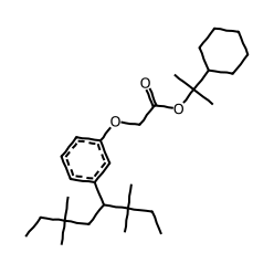 CCC(C)(C)CC(c1cccc(OCC(=O)OC(C)(C)C2CCCCC2)c1)C(C)(C)CC